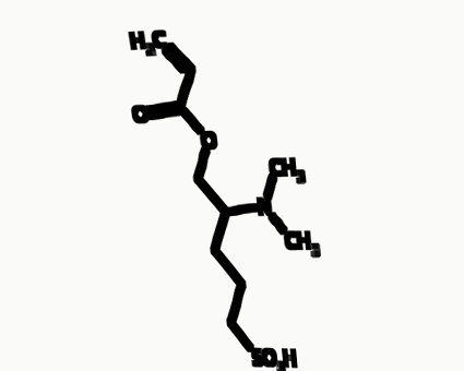 C=CC(=O)OCC(CCCS(=O)(=O)O)N(C)C